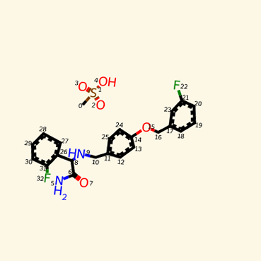 CS(=O)(=O)O.NC(=O)C(NCc1ccc(OCc2cccc(F)c2)cc1)c1ccccc1F